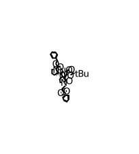 CC(C)(C)C(=O)Oc1c2n(c([C@H]3CCCN3C(=O)OCc3ccccc3)nc1=O)CCN(CCS(=O)(=O)c1ccccc1)C2=O